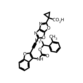 Cc1ccccc1C(C)OC(=O)Nc1c(C#Cc2nc3nc(C4(C(=O)O)CC4)oc3o2)oc2ccccc12